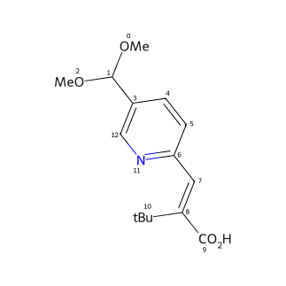 COC(OC)c1ccc(/C=C(/C(=O)O)C(C)(C)C)nc1